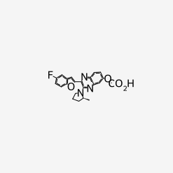 C[C@H]1CCCN1c1nc2cc(OC(=O)O)ccc2nc1-c1cc2cc(F)ccc2o1